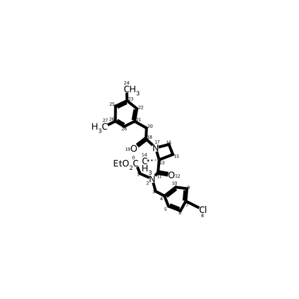 CCOC(=O)CN(Cc1ccc(Cl)cc1)C(=O)[C@]1(C)CCN1C(=O)Cc1cc(C)cc(C)c1